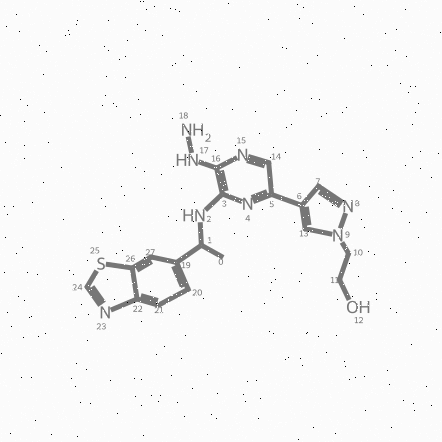 CC(Nc1nc(-c2cnn(CCO)c2)cnc1NN)c1ccc2ncsc2c1